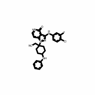 N#CCC1(n2nc(Nc3ccc(Cl)c(F)c3)c3c(=O)[nH]ccc32)CCC(Nc2ccccc2)CC1